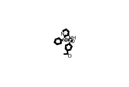 CC(=O)c1ccc(S(=O)(=O)Nc2cccnc2Nc2ccccc2)cc1